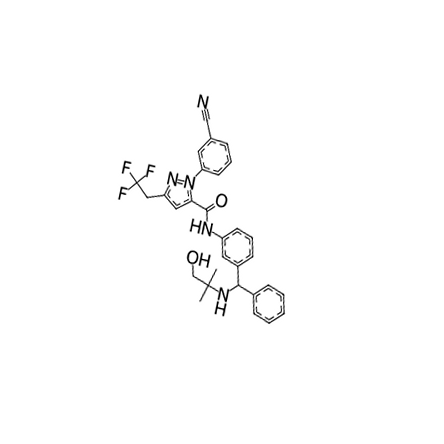 CC(C)(CO)NC(c1ccccc1)c1cccc(NC(=O)c2cc(CC(F)(F)F)nn2-c2cccc(C#N)c2)c1